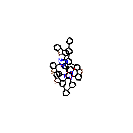 c1ccc(-c2ccc(-c3cccc(-c4ccc5sc6cccc(-c7nc(-c8ccccc8)nc(-c8cc(-c9ccccc9-c9cccc(-c%10cccc(-c%11ccc%12sc%13cccc(-c%14nc(-c%15ccccc%15)nc(-c%15cccc%16c%15sc%15ccccc%15%16)n%14)c%13c%12c%11)c%10)c9)cc9sc%10ccccc%10c89)n7)c6c5c4)c3)cc2)cc1